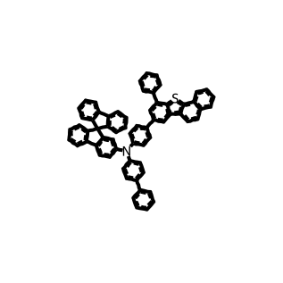 c1ccc(-c2ccc(N(c3ccc(-c4cc(-c5ccccc5)c5sc6c7ccccc7ccc6c5c4)cc3)c3ccc4c(c3)C3(c5ccccc5-c5ccccc53)c3ccccc3-4)cc2)cc1